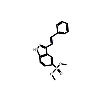 COP(=O)(OC)c1ccc2[nH]nc(/C=C/c3ccccc3)c2c1